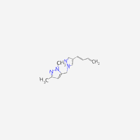 C=C/C=C/c1cnn(Cc2cc(C)nn2C)c1